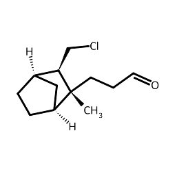 C[C@@]1(CCC=O)[C@H]2CC[C@H](C2)[C@H]1CCl